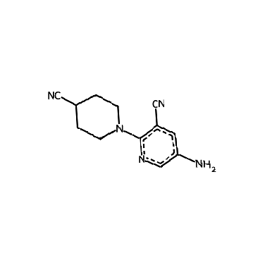 N#Cc1cc(N)cnc1N1CCC(C#N)CC1